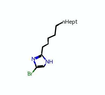 CCCCCCCCCCCCc1nc(Br)c[nH]1